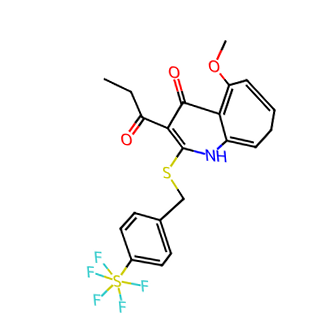 CCC(=O)c1c(SCc2ccc(S(F)(F)(F)(F)F)cc2)[nH]c2c(c1=O)=C(OC)C=CCC=2